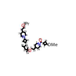 CO[C@H]1C[C@H](C(=O)N2CCC(CCOC(C)(C)CC(C)C[C@H]3C[C@H](N4CCC(CCOC(C)C)CC4)C3)CC2)C1